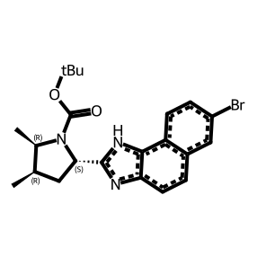 C[C@@H]1C[C@@H](c2nc3ccc4cc(Br)ccc4c3[nH]2)N(C(=O)OC(C)(C)C)[C@@H]1C